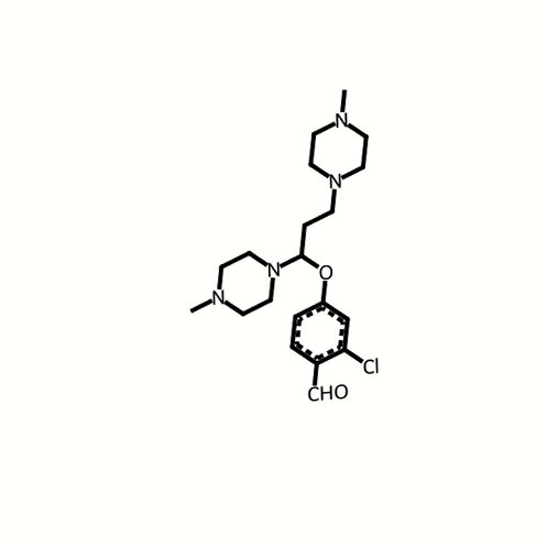 CN1CCN(CCC(Oc2ccc(C=O)c(Cl)c2)N2CCN(C)CC2)CC1